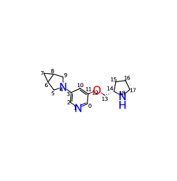 c1ncc(N2CC3CC3C2)cc1OC[C@@H]1CCCN1